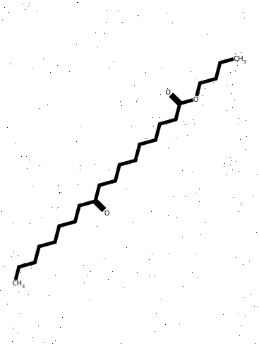 CCCCCCCCC(=O)CCCCCCCCC(=O)OCCCC